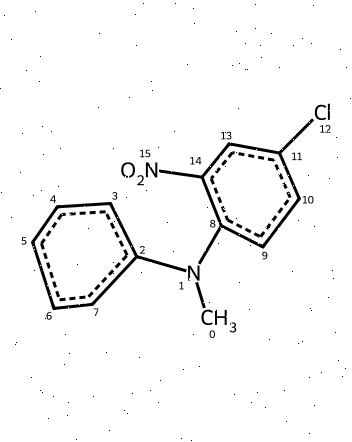 CN(c1ccccc1)c1ccc(Cl)cc1[N+](=O)[O-]